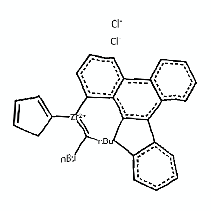 CCCC[C](CCCC)=[Zr+2]([C]1=CC=CC1)[c]1cccc2c1c1c(c3ccccc32)-c2ccccc2C1.[Cl-].[Cl-]